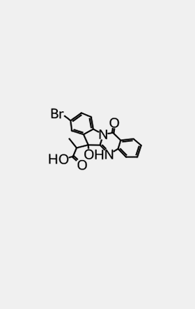 CC(C(=O)O)C1(O)c2cc(Br)ccc2-n2c1nc1ccccc1c2=O